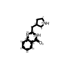 O=c1[nH]c(CC2CCNC2)nc2ccccc12